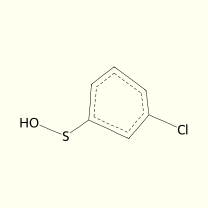 OSc1cccc(Cl)c1